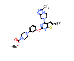 CCCc1cc2c(N3CCn4c(nnc4C(F)(F)F)C3)nc(Oc3cccc(N4CCN(C(=O)OC(C)(C)C)CC4)c3)nc2s1